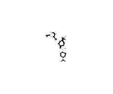 CC(C)[C@H]1CC[C@H](n2cc3cc(NC(=O)c4ccnc(C(F)(F)F)n4)c(C(C)(C)O)cc3n2)CC1